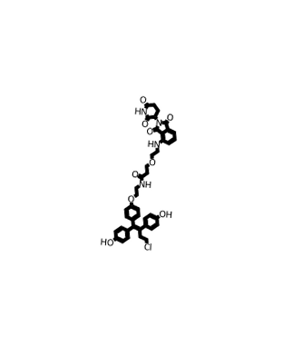 O=C(CCOCCNc1cccc2c1C(=O)N(C1CCC(=O)NC1=O)C2=O)NCCOc1ccc(C(=C(CCCl)c2ccc(O)cc2)c2ccc(O)cc2)cc1